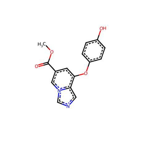 COC(=O)c1cc(Oc2ccc(O)cc2)c2cncn2c1